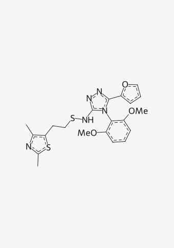 COc1cccc(OC)c1-n1c(NSCCc2sc(C)nc2C)nnc1-c1ccco1